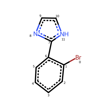 Brc1ccccc1-c1ncc[nH]1